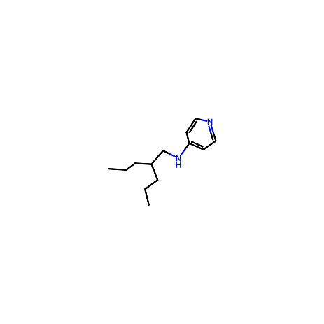 CCCC(CCC)CNc1ccncc1